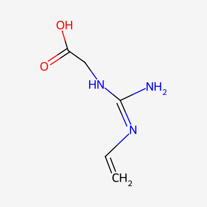 C=CN=C(N)NCC(=O)O